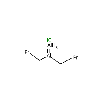 CC(C)[CH2][AlH][CH2]C(C)C.Cl.[AlH3]